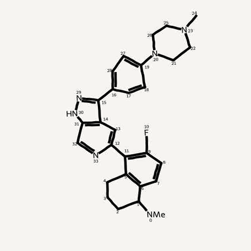 CNC1CCCc2c1ccc(F)c2-c1cc2c(-c3ccc(N4CCN(C)CC4)cc3)n[nH]c2cn1